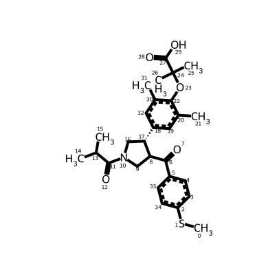 CSc1ccc(C(=O)C2CN(C(=O)C(C)C)C[C@@H]2c2cc(C)c(OC(C)(C)C(=O)O)c(C)c2)cc1